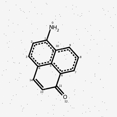 Nc1ccc2c3c(cccc13)C(=O)C=C2